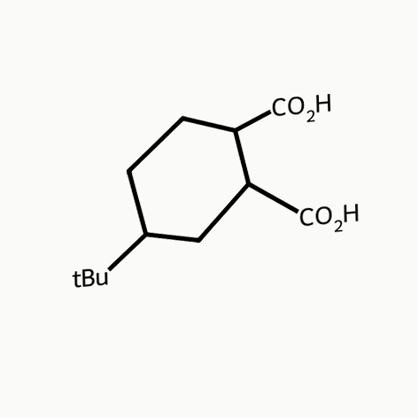 CC(C)(C)C1CCC(C(=O)O)C(C(=O)O)C1